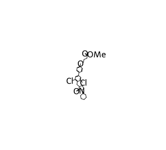 COC(=O)CCCOc1ccc(-c2cc(Cl)c(CC3CCN(C4CCCCC4)C3=O)c(Cl)c2)cc1